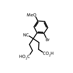 COc1ccc(Br)c(C(C#N)(CCC(=O)O)CCC(=O)O)c1